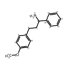 COc1ccc([CH]CC(N)c2ccccc2)cc1